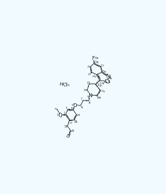 COc1cc(OCCCN2CCC(c3onc4cc(F)ccc34)CC2)ccc1CC=O.Cl